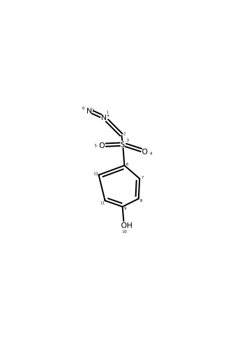 [N-]=[N+]=CS(=O)(=O)c1ccc(O)cc1